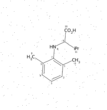 Cc1cccc(C)c1NC(C(=O)O)C(C)C